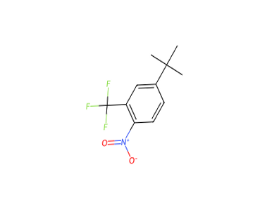 CC(C)(C)c1ccc([N+](=O)[O-])c(C(F)(F)F)c1